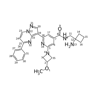 COC1CN(c2cc(C(=O)NCC3(N)CCC3)cc(-c3cnn4ccc(-c5ccccc5)nc34)n2)C1